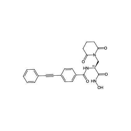 O=C(N[C@@H](CN1C(=O)CCCC1=O)C(=O)NO)c1ccc(C#Cc2ccccc2)cc1